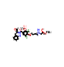 COC(=O)[C@H](Cc1ccccc1)NC(=O)c1cc(Cl)c(OCCCCNCC(=O)OC(C)(C)C)c(Cl)c1O